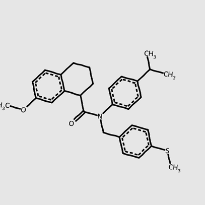 COc1ccc2c(c1)C(C(=O)N(Cc1ccc(SC)cc1)c1ccc(C(C)C)cc1)CCC2